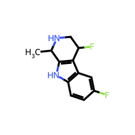 CC1NCC(F)c2c1[nH]c1ccc(F)cc21